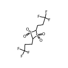 O=S1(=O)C(CCC(F)(F)F)S(=O)(=O)C1CCC(F)(F)F